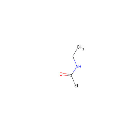 BCNC(=O)CC